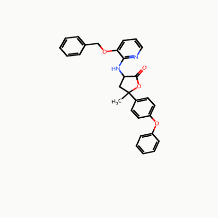 CC1(c2ccc(Oc3ccccc3)cc2)CC(Nc2ncccc2OCc2ccccc2)C(=O)O1